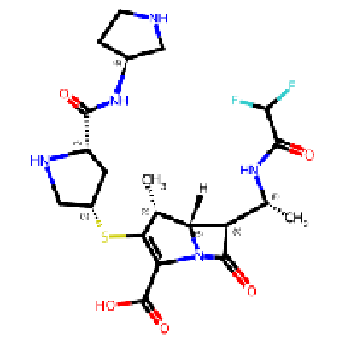 C[C@@H](NC(=O)C(F)F)[C@H]1C(=O)N2C(C(=O)O)=C(S[C@@H]3CN[C@H](C(=O)N[C@H]4CCNC4)C3)[C@H](C)[C@H]12